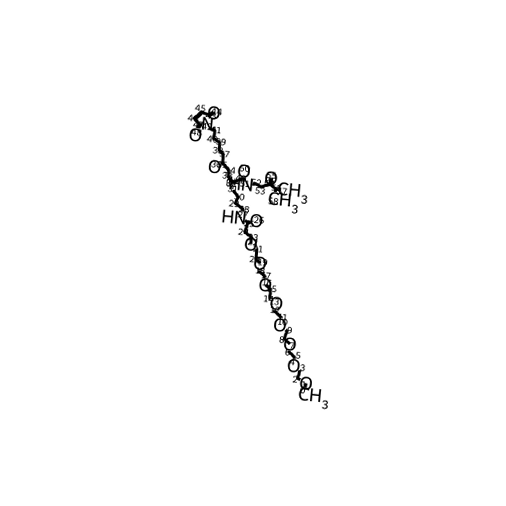 COCCOCCOCCOCCOCCOCCOCCOCCC(=O)NCCCC[C@H](CCC(=O)CCCCCN1C(=O)C=CC1=O)C(=O)NCCC(=O)C(C)C